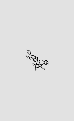 Cc1ccncc1-c1[nH]c2c(-c3nc4c(OCC(C)C)c(C5CCN(C)CC5)ccc4[nH]3)c(=O)[nH]cc2c1C#N